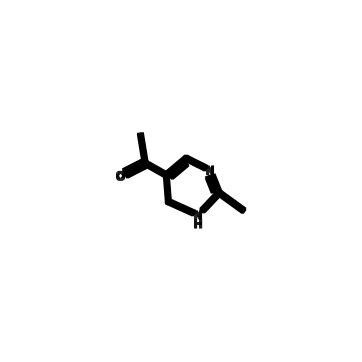 CC(=O)C1=CN=C(C)NC1